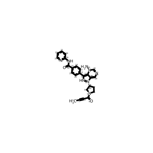 CC#CC(=O)N1CC[C@@H](N2NC(c3ccc(C(=O)Nc4ccccn4)cc3)=C3C2=CN=CN3N)C1